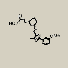 CCC(CC[C@H]1CCC[C@@H](OCc2nc(-c3cccc(OC)c3)oc2C)C1)C(=O)O